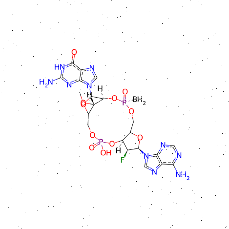 B[P@]1(=O)OCC2O[C@@H](n3cnc4c(N)ncnc43)[C@@H](F)[C@H]2OP(=O)(O)OCC2OC(n3cnc4c(=O)[nH]c(N)nc43)[C@@H](O1)[C@H]2OC